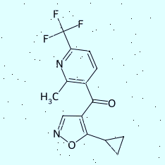 Cc1nc(C(F)(F)F)ccc1C(=O)c1cnoc1C1CC1